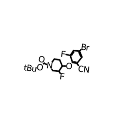 CC(C)(C)OC(=O)N1CCC(Oc2c(F)cc(Br)cc2C#N)C(F)C1